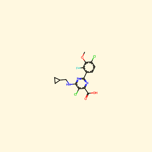 COc1c(Cl)ccc(-c2nc(NCC3CC3)c(Cl)c(C(=O)O)n2)c1F